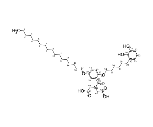 CCCCCCCCCCCCCCCCCCOc1ccc(OCCCCCCc2cccc(O)c2O)c(C(=O)N(CC(=O)O)CC(=O)O)c1